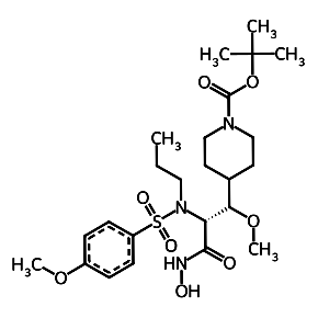 CCCN([C@@H](C(=O)NO)C(OC)C1CCN(C(=O)OC(C)(C)C)CC1)S(=O)(=O)c1ccc(OC)cc1